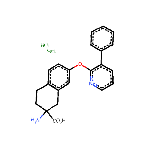 Cl.Cl.NC1(C(=O)O)CCc2ccc(Oc3ncccc3-c3ccccc3)cc2C1